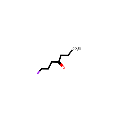 CCOC(=O)CCC(=O)CCCI